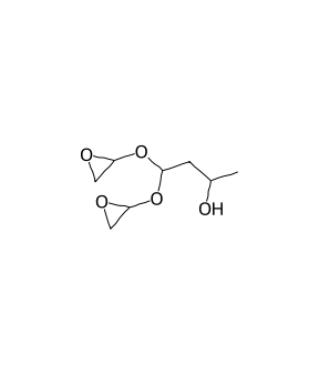 CC(O)CC(OC1CO1)OC1CO1